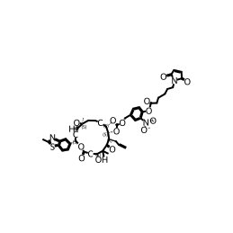 C=CC[C@H]1C(=O)C(C)(C)[C@@H](O)CC(=O)O[C@H](c2ccc3sc(C)nc3c2)C[C@H]2O[C@@]2(C)CCC[C@H](C)[C@@H]1OC(=O)OCc1ccc(OC(=O)CCCCCN2C(=O)C=CC2=O)c([N+](=O)[O-])c1